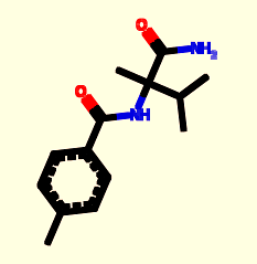 Cc1ccc(C(=O)NC(C)(C(N)=O)C(C)C)cc1